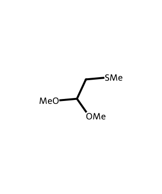 COC(CSC)OC